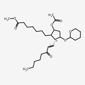 CCCCCC(=O)/C=C/[C@H]1C(OC2CCCCO2)CC(OC(C)=O)C1CCCCCCC(=O)OC